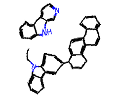 CCn1c2ccccc2c2cc(C3CCCc4c3ccc3c4ccc4ccccc43)ccc21.c1ccc2c(c1)[nH]c1cnccc12